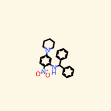 O=[N+]([O-])c1ccc(N2CCCCC2)cc1NC(c1ccccc1)c1ccccc1